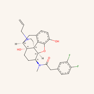 C=CCN1CC[C@]23c4c5ccc(O)c4O[C@H]2[C@@H](N(C)C(=O)Cc2ccc(F)c(F)c2)CC[C@@]3(O)[C@H]1C5